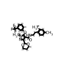 Cc1ccc(CCNC(=O)c2c(C3OCCCO3)nn(C)c2Oc2cccc(C(F)(F)F)c2)c(C)c1